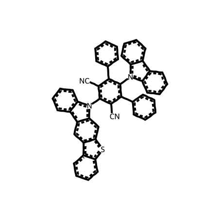 N#Cc1c(-c2ccccc2)c(-n2c3ccccc3c3ccccc32)c(-c2ccccc2)c(C#N)c1-n1c2ccccc2c2cc3c(cc21)sc1ccccc13